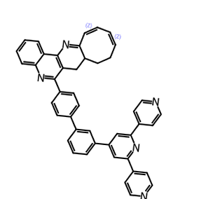 C1=C\CCC2Cc3c(-c4ccc(-c5cccc(-c6cc(-c7ccncc7)nc(-c7ccncc7)c6)c5)cc4)nc4ccccc4c3N=C2\C=C/1